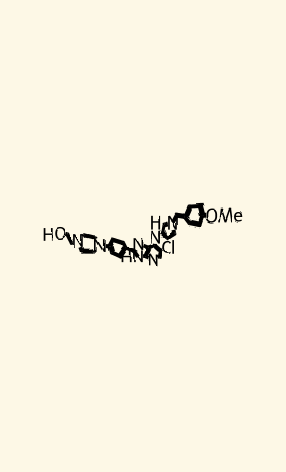 COc1ccc(CN2CC[C@H](Nc3c(Cl)cnc4[nH]c(-c5ccc(N6CCN(CCO)CC6)cc5)nc34)C2)cc1